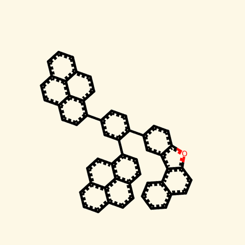 c1ccc2c(c1)ccc1oc3ccc(-c4ccc(-c5ccc6ccc7cccc8ccc5c6c78)cc4-c4ccc5ccc6cccc7ccc4c5c67)cc3c12